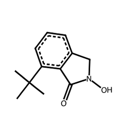 CC(C)(C)c1cccc2c1C(=O)N(O)C2